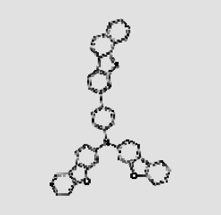 c1ccc2c(c1)ccc1c3ccc(-c4ccc(N(c5ccc6c(c5)oc5ccccc56)c5ccc6c(c5)oc5ccccc56)cc4)cc3sc21